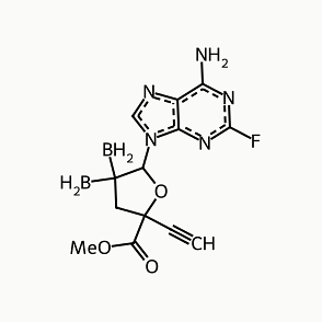 BC1(B)CC(C#C)(C(=O)OC)OC1n1cnc2c(N)nc(F)nc21